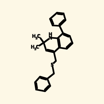 CC1(C)C=C(CSCc2ccccc2)c2cccc(-c3ccccc3)c2N1